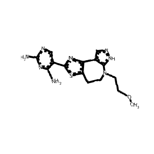 COCCN1CCc2sc(-c3cnc(N)nc3N)nc2-c2cn[nH]c21